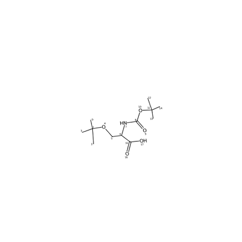 CC(C)(C)OCC(NC(=O)OC(C)(C)C)C(=O)O